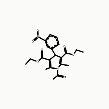 CCOC(=O)C1=C(C)N(C(C)=O)C(C)=C(C(=O)OCC)C1c1cccc([N+](=O)[O-])c1